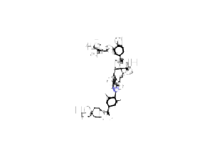 Cc1cc(C(=O)N2CCC(O)(CF)CC2)cc(C)c1/C=C/S(=O)(=O)N1CCC2(CC1)N=C(c1ccc(Cl)c(OCC(F)(F)C(F)(F)F)c1)NC2=O